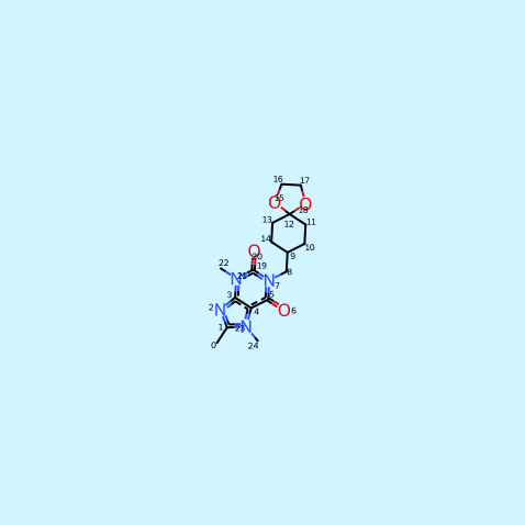 Cc1nc2c(c(=O)n(CC3CCC4(CC3)OCCO4)c(=O)n2C)n1C